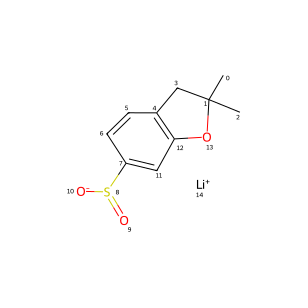 CC1(C)Cc2ccc(S(=O)[O-])cc2O1.[Li+]